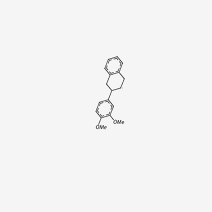 COc1ccc(C2[CH]Cc3ccccc3C2)cc1OC